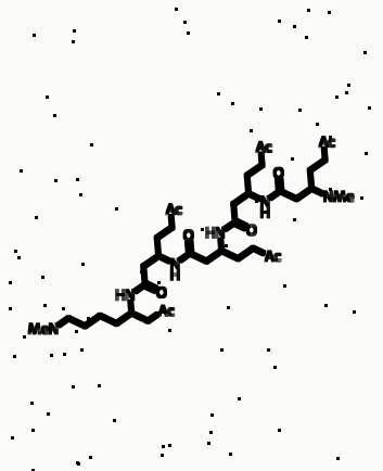 CNCCCCC(CC(C)=O)NC(=O)CC(CCC(C)=O)NC(=O)CC(CCC(C)=O)NC(=O)CC(CCC(C)=O)NC(=O)CC(CCC(C)=O)NC